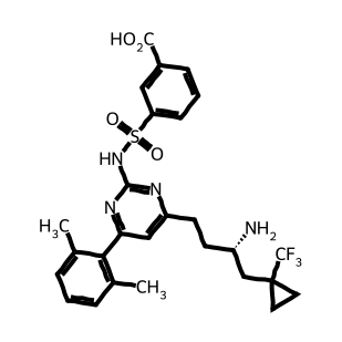 Cc1cccc(C)c1-c1cc(CC[C@H](N)CC2(C(F)(F)F)CC2)nc(NS(=O)(=O)c2cccc(C(=O)O)c2)n1